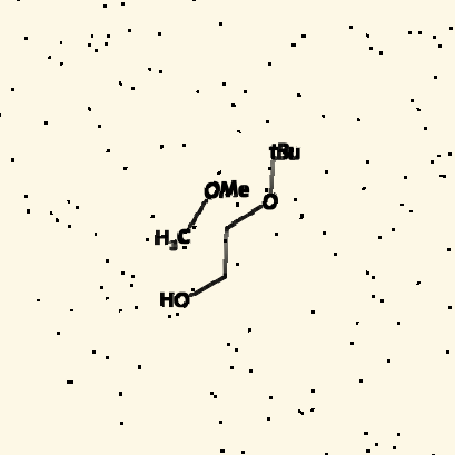 CC(C)(C)OCCO.COC